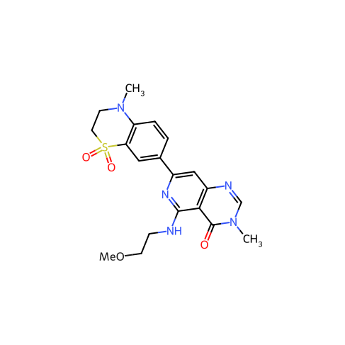 COCCNc1nc(-c2ccc3c(c2)S(=O)(=O)CCN3C)cc2ncn(C)c(=O)c12